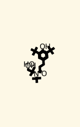 CC(C)(C)c1cc(CCC(=O)N(C(C)(C)C)C(C)(CO)CO)cc(C(C)(C)C)c1O